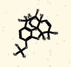 [2H]C([2H])([2H])Oc1ccc2c3c1OC1([2H])C([2H])(O)C=C[C@@]4([2H])[C@H](N(C)CC[C@]314)C2([2H])[2H]